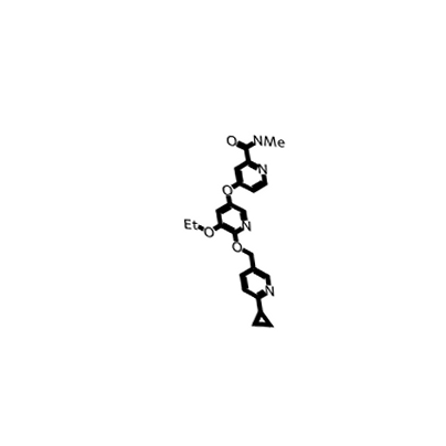 CCOc1cc(Oc2ccnc(C(=O)NC)c2)cnc1OCc1ccc(C2CC2)nc1